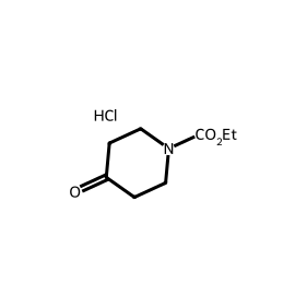 CCOC(=O)N1CCC(=O)CC1.Cl